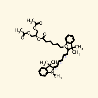 CC(=O)OCC(COC(C)=O)OC(=O)CCCCC[N+]1=C(/C=C/C=C/C=C2/N(C)c3ccccc3C2(C)C)C(C)(C)c2ccccc21